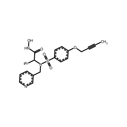 CC#CCOc1ccc(S(=O)(=O)N(Cc2cccnc2)C(C(=O)NO)C(C)C)cc1